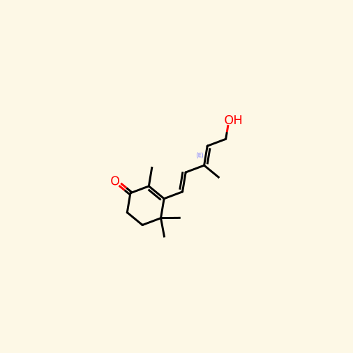 CC1=C(C=C/C(C)=C/CO)C(C)(C)CCC1=O